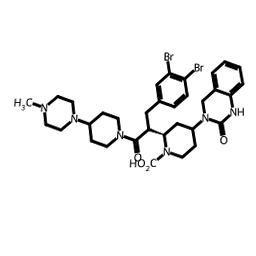 CN1CCN(C2CCN(C(=O)C(Cc3ccc(Br)c(Br)c3)[C@H]3CC(N4Cc5ccccc5NC4=O)CCN3C(=O)O)CC2)CC1